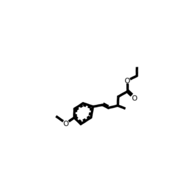 CCOC(=O)CC(C)/C=C/c1ccc(OC)cc1